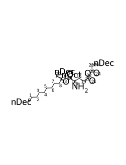 CCCCCCCCCCCCCCCCCCC(CCCCCCCC)(CCCCCCCCCCC)OC(=O)C(N)CCC(=O)OC(=O)CCCCCCCCCCC